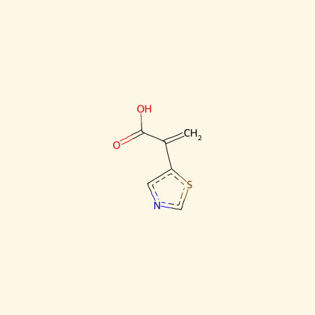 C=C(C(=O)O)c1cncs1